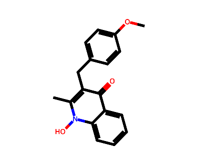 COc1ccc(Cc2c(C)n(O)c3ccccc3c2=O)cc1